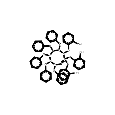 Oc1ccccc1ON1P(Oc2ccccc2)N(Oc2ccccc2)P(Oc2ccccc2)N(Oc2ccccc2)P(Oc2ccccc2)N=P1(Oc1ccccc1O)Oc1ccccc1O